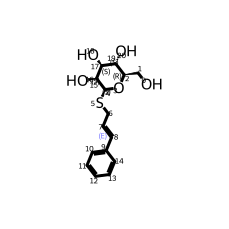 OC[C@H]1O[C@@H](SC/C=C/c2ccccc2)[C@@H](O)[C@@H](O)[C@@H]1O